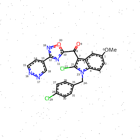 COc1ccc2c(c1)c(C(=O)c1nc(-c3ccnnc3)no1)c(Cl)n2Cc1ccc(Cl)cc1